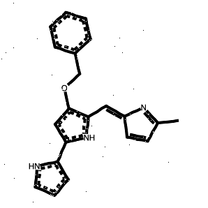 CC1=NC(=Cc2[nH]c(-c3ccc[nH]3)cc2OCc2ccccc2)C=C1